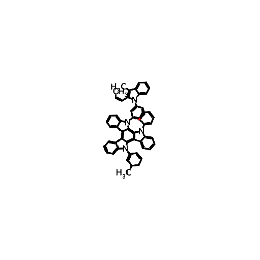 C/C=C\c1c(C)c2ccccc2n1-c1cccc(-n2c3ccccc3c3c4c5ccccc5n(C5=CC(C)CC=C5)c4c4c5ccccc5n(-c5ccccc5)c4c32)c1